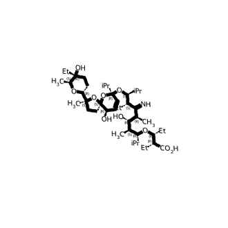 CC[C@@H](O[C@H](C(C)C)[C@@H](C)[C@H](O)[C@H](C)C(=N)[C@H](CC)[C@@H](O[C@@]1(C(C)C)C=C[C@@H](O)[C@]2(CC[C@@](C)([C@H]3CC[C@](O)(CC)[C@H](C)O3)O2)O1)C(C)C)[C@@H](CC)C(=O)O